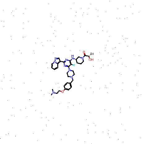 CC[C@H](O)C(=O)N1CCC[C@@H](Nc2nc(-c3cnn4ccccc34)nc(N3CCN(Cc4ccc(OCCN(C)C)cc4)CC3)c2F)C1